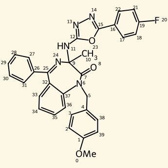 COc1ccc(CN2C(=O)C(C)(Nc3nnc(-c4ccc(F)cc4)o3)N=C(c3ccccc3)c3ccccc32)cc1